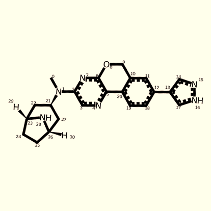 CN(c1cnc2c(n1)OCc1cc(-c3cn[nH]c3)ccc1-2)[C@@H]1C[C@H]2CC[C@@H](C1)N2